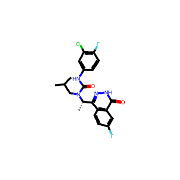 CC(C)CN(C(=O)Nc1ccc(F)c(Cl)c1)[C@@H](C)c1n[nH]c(=O)c2cc(F)ccc12